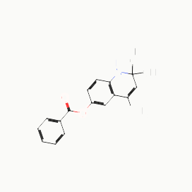 CC1=CC(C)(C)Nc2ccc(OC(=O)c3ccccc3)cc21